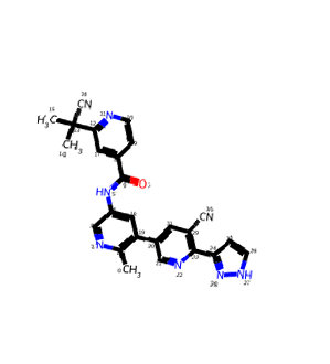 Cc1ncc(NC(=O)c2ccnc(C(C)(C)C#N)c2)cc1-c1cnc(-c2cc[nH]n2)c(C#N)c1